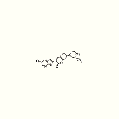 C[C@H]1CN(c2ccc3cc(-c4cn5cc(Cl)cnc5n4)c(=O)oc3c2)CCN1